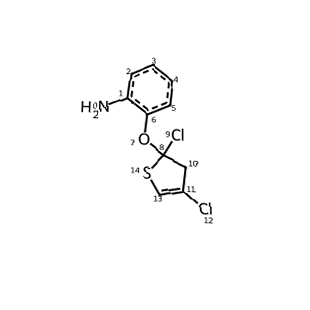 Nc1ccccc1OC1(Cl)CC(Cl)=CS1